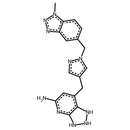 Cn1nnc2cc(Cn3cc(Cc4cc(N)nc5c4NNN5)cn3)ccc21